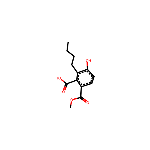 CCCCc1c(O)ccc(C(=O)OC)c1C(=O)O